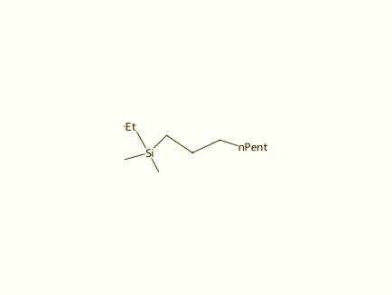 C[CH][Si](C)(C)CCCCCCCC